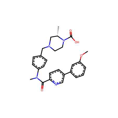 COc1cccc(-c2ccc(C(=O)N(C)c3ccc(CN4CCN(C(=O)O)[C@@H](C)C4)cc3)nc2)c1